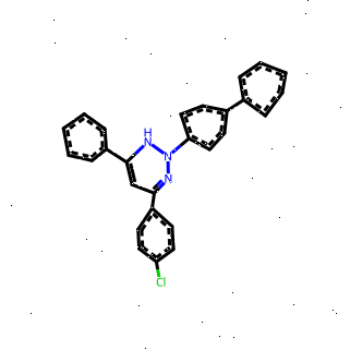 Clc1ccc(C2=NN(c3ccc(-c4ccccc4)cc3)NC(c3ccccc3)=C2)cc1